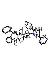 N=C(/C(=C\Nc1ccccn1)c1nnc(N[C@H]2N=C(c3ccccc3)c3ccccc3NC2=O)o1)N1CCOCC1